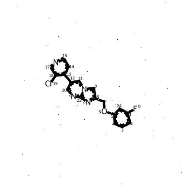 Fc1cccc(OCc2cn3cc(-c4ccncc4Cl)cnc3n2)c1